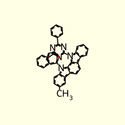 Cc1ccc2c(c1)c1ccc3c4ccccc4n(-c4nc(-c5ccccc5)nc(-c5ccccc5)n4)c3c1n2-c1ccccc1